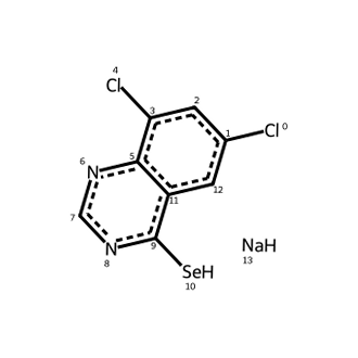 Clc1cc(Cl)c2ncnc([SeH])c2c1.[NaH]